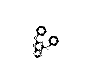 c1ccc(Oc2nc(Oc3ccccc3)n3ncnc3n2)cc1